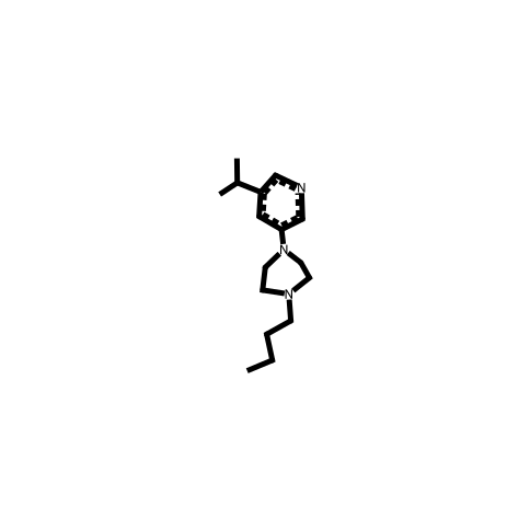 CCCCN1CCN(c2cncc(C(C)C)c2)CC1